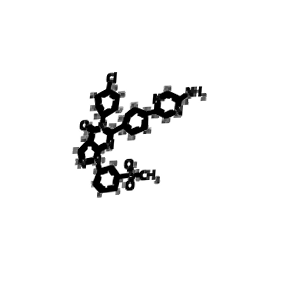 CS(=O)(=O)c1cccc(-n2ncc3c(=O)n(-c4ccc(Cl)cc4)c(-c4ccc(-c5cnc(N)cn5)cc4)nc32)c1